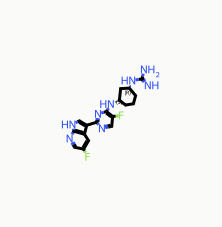 N=C(N)N[C@@H]1CCC[C@H](Nc2nc(-c3c[nH]c4ncc(F)cc34)ncc2F)C1